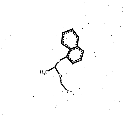 CCOC(C)Oc1[c]ccc2ccccc12